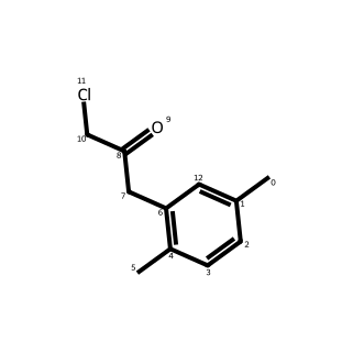 Cc1ccc(C)c(CC(=O)CCl)c1